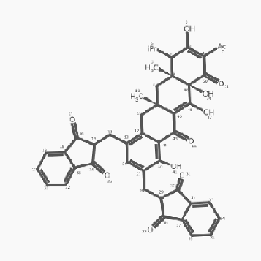 CC(=O)C1=C(O)C(C(C)C)[C@@]2(C)C[C@@]3(C)Cc4c(CC5C(=O)c6ccccc6C5=O)cc(CC5C(=O)c6ccccc6C5=O)c(O)c4C(=O)C3=C(O)[C@@]2(O)C1=O